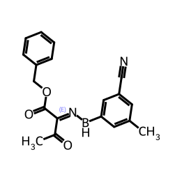 CC(=O)/C(=N\Bc1cc(C)cc(C#N)c1)C(=O)OCc1ccccc1